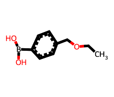 CCOCc1ccc(B(O)O)cc1